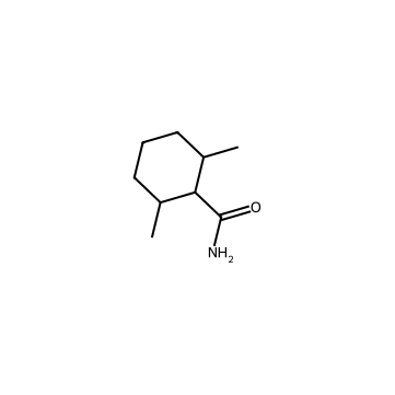 CC1CCCC(C)C1C(N)=O